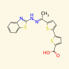 C/C(=N\Nc1nc2ccccc2s1)c1ccc(-c2ccc(C(=O)O)s2)s1